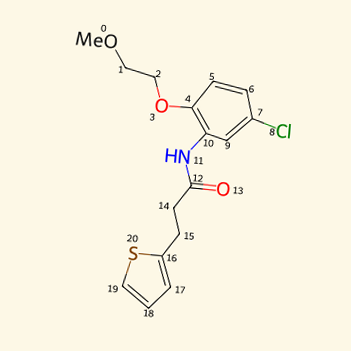 COCCOc1ccc(Cl)cc1NC(=O)CCc1cccs1